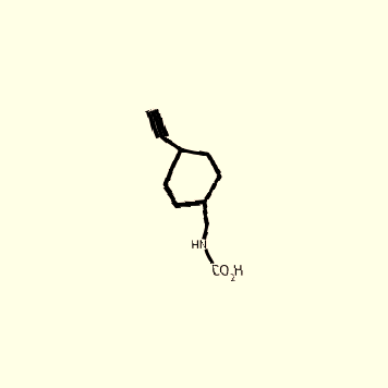 C#CC1CCC(CNC(=O)O)CC1